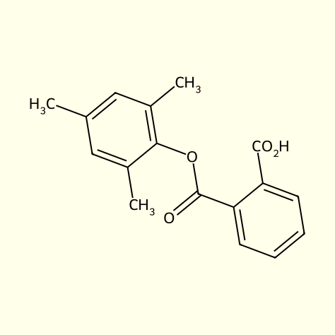 Cc1cc(C)c(OC(=O)c2ccccc2C(=O)O)c(C)c1